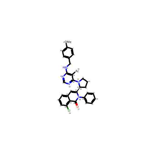 COc1ccc(CNc2ncnc(N3CCC[C@H]3c3cc4cccc(Cl)c4c(=O)n3-c3ccccc3)c2C(C)=O)cc1